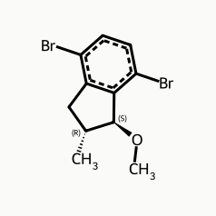 CO[C@@H]1c2c(Br)ccc(Br)c2C[C@H]1C